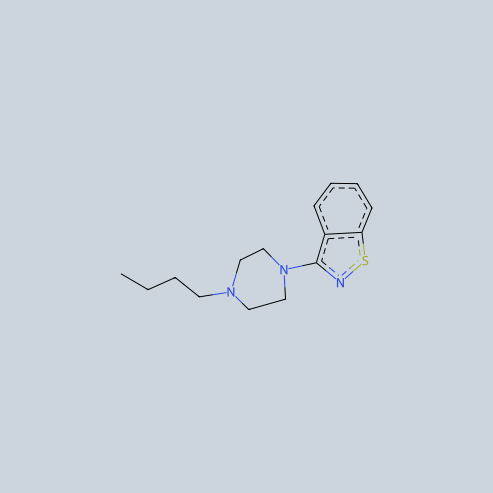 CCCCN1CCN(c2nsc3ccccc23)CC1